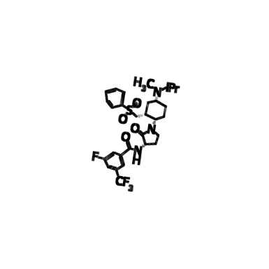 CC(C)N(C)[C@@H]1CC[C@H](N2CC[C@H](NC(=O)c3cc(F)cc(C(F)(F)F)c3)C2=O)[C@H](CS(=O)(=O)c2ccccc2)C1